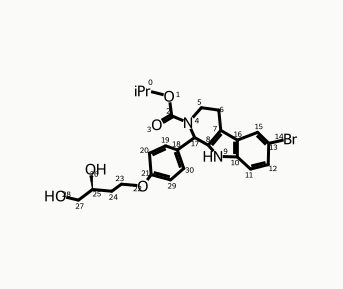 CC(C)OC(=O)N1CCc2c([nH]c3ccc(Br)cc23)C1c1ccc(OCC[C@H](O)CO)cc1